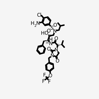 CC(C)CN(C[C@@H](O)[C@H](Cc1ccccc1)NC(=O)[C@H](C(C)C)N1CC(=O)N(Cc2ccc(OC(F)(F)F)cc2)C1=O)S(=O)(=O)c1ccc(Cl)c(N)c1